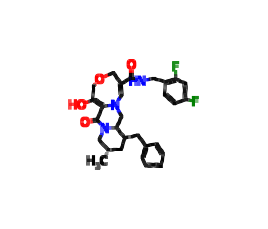 C[C@H]1CC(Cc2ccccc2)C2CN3/C=C(/C(=O)NCc4ccc(F)cc4F)COC/C(O)=C\3C(=O)N2C1